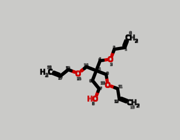 C=CCOCC(CCO)(COCC=C)COCC=C